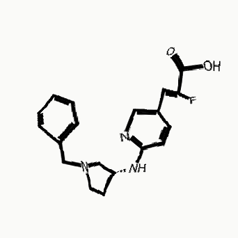 O=C(O)C(F)=Cc1ccc(N[C@@H]2CCN(Cc3ccccc3)C2)nc1